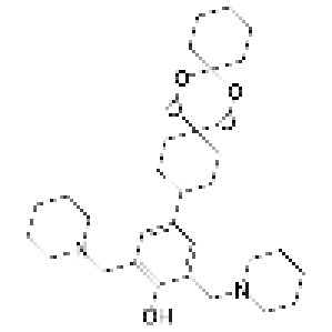 Oc1c(CN2CCCCC2)cc(C2CCC3(CC2)OOC2(CCCCC2)OO3)cc1CN1CCCCC1